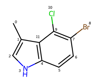 Cc1c[nH]c2ccc(Br)c(Cl)c12